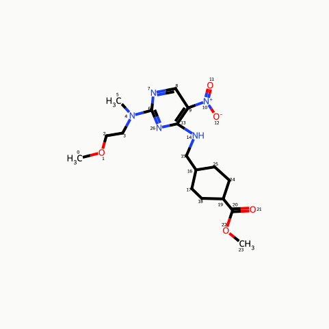 COCCN(C)c1ncc([N+](=O)[O-])c(NCC2CCC(C(=O)OC)CC2)n1